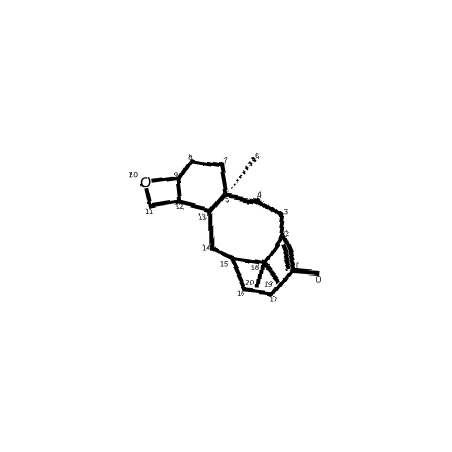 CC1=C2CC[C@]3(C)CCC4OCC4C3CC(CC1)C2(C)C